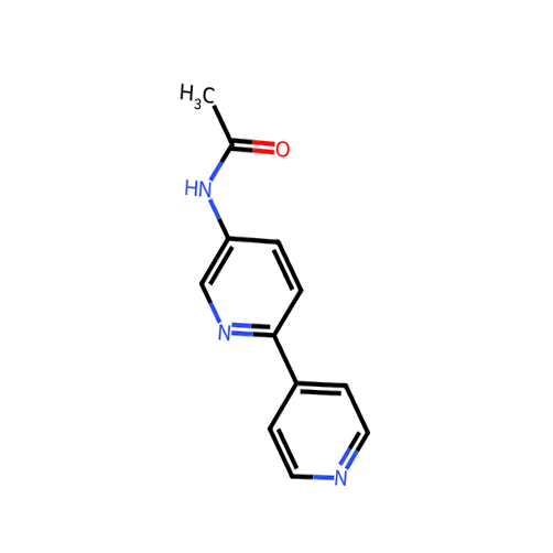 CC(=O)Nc1ccc(-c2ccncc2)nc1